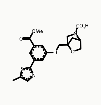 COC(=O)c1cc(OCC23CC(CO2)N(C(=O)O)C3)cc(-c2ncc(C)s2)c1